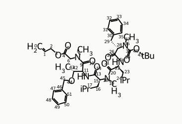 C=CCOC(=O)CN(C)C(=O)[C@@H](NC(=O)[C@H](CC(C)C)N(C)C(=O)[C@H](CC(C)C)NC(=O)[C@H](Cc1ccccc1)N(C)C(=O)OC(C)(C)C)[C@@H](C)OCc1ccccc1